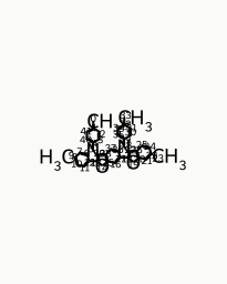 Cc1ccc(-n2c3cc(C)ccc3c3oc4cc5c6oc7cc(C)ccc7c6n(-c6ccc(C)cc6)c5cc4c32)cc1